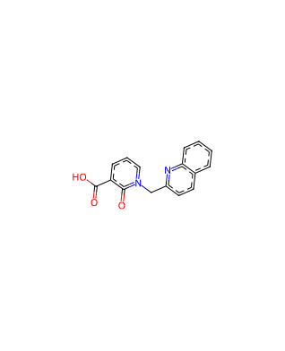 O=C(O)c1cccn(Cc2ccc3ccccc3n2)c1=O